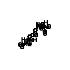 COC(=O)NCC(=O)N1CCC[C@H]1c1nc2ccc3cc4c(cc3c2[nH]1)OCc1cc(-c2cnc([C@@H]3CCCN3C(=O)C(NC=O)C3CCOCC3)[nH]2)ccc1-4